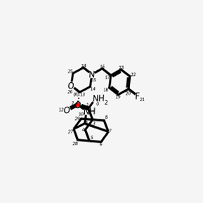 NC(=O)C12CC3CC(C1)C(NC(=O)[C@H]1CN(Cc4ccc(F)cc4)CCO1)C(C3)C2